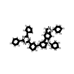 c1ccc(-c2nc(-c3ccccc3)nc(-c3cccc(-c4ccc5c(c4)c4cc6cnn(-c7ccccc7)c6cc4n5-c4ccccc4)c3)n2)cc1